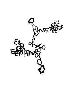 C=C(CC(C)(C)C(=O)OCC(COc1ccccc1)OC(=O)NCCC[Si](OCC)(OCC)OCC)C(=O)OCC(COc1ccccc1)OC(=O)NCCC[Si](OCC)(OCC)OCC